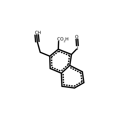 C#CCc1cc2ccccc2c(I=O)c1C(=O)O